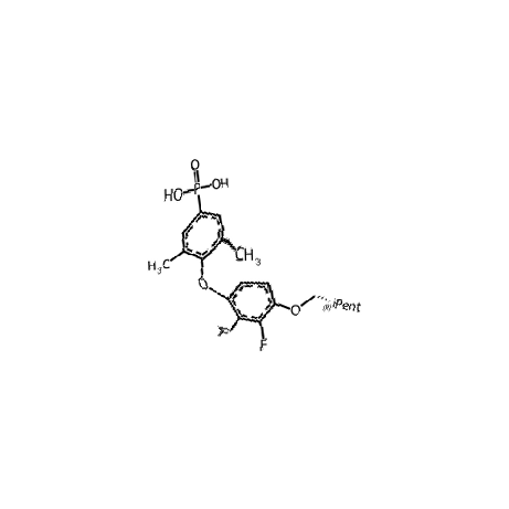 CCC[C@@H](C)COc1ccc(Oc2c(C)cc(P(=O)(O)O)cc2C)c(F)c1F